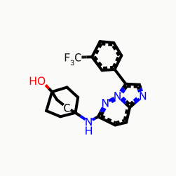 OC12CCC(Nc3ccc4ncc(-c5cccc(C(F)(F)F)c5)n4n3)(CC1)CC2